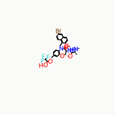 CN[C@@H](C)C(=O)N[C@@H]1C(=O)N(Cc2c(OC)ccc3cc(Br)ccc23)c2ccc(C)cc2O[C@H]1C.O=C(O)C(F)(F)F